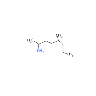 CC=CC(C)CCC(C)N